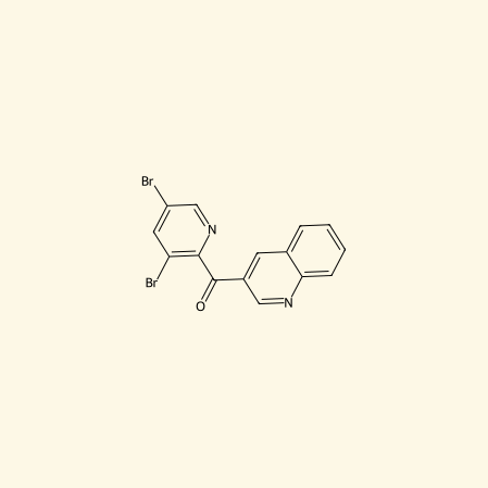 O=C(c1cnc2ccccc2c1)c1ncc(Br)cc1Br